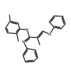 CC(=C\Oc1ccccc1)/C(=N\c1ccccc1)Oc1cc(C)ccc1C